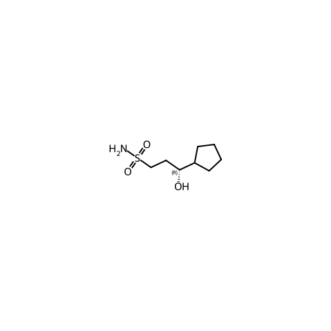 NS(=O)(=O)CC[C@@H](O)C1CCCC1